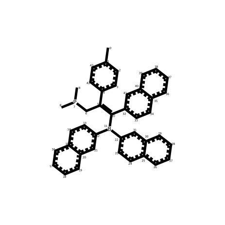 Cc1ccc(/C(CP(C)C)=C(/B(c2ccc3ccccc3c2)c2ccc3ccccc3c2)c2ccc3ccccc3c2)cc1